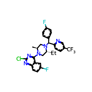 CC[C@@H]1CN(c2nc(Cl)nc3ccc(F)cc23)[C@@H](C)CN1C(c1ccc(F)cc1)c1ccc(C(F)(F)F)cn1